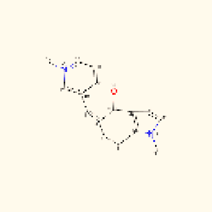 Cn1ccc2c1CCC(=Cc1ccc[n+](C)c1)C2=O